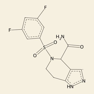 NC(=O)C1c2[c]n[nH]c2CCN1S(=O)(=O)c1cc(F)cc(F)c1